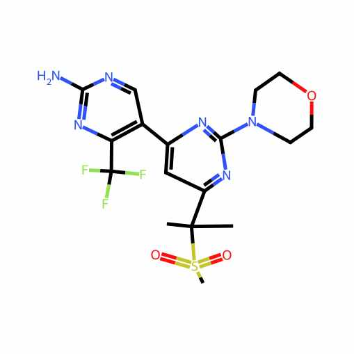 CC(C)(c1cc(-c2cnc(N)nc2C(F)(F)F)nc(N2CCOCC2)n1)S(C)(=O)=O